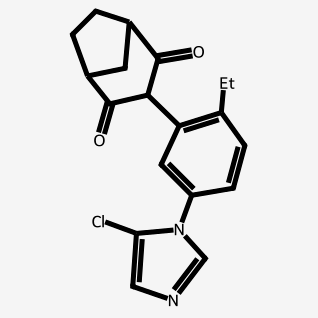 CCc1ccc(-n2cncc2Cl)cc1C1C(=O)C2CCC(C2)C1=O